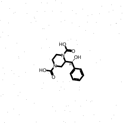 O=C(O)N1CCN(C(=O)O)C([C@H](O)c2ccccc2)C1